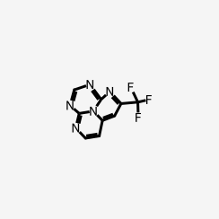 FC(F)(F)C1=NC2=NC=NC3=NC=CC(=C1)N32